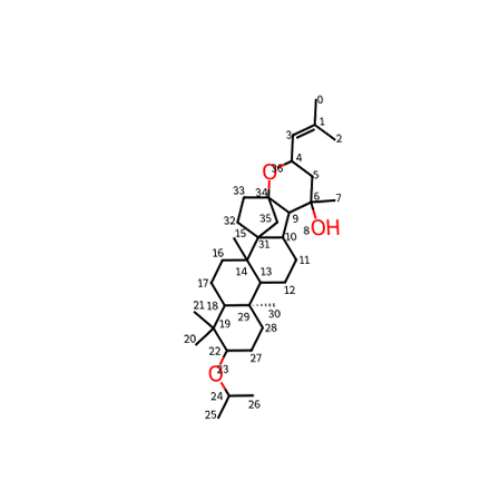 CC(C)=CC1CC(C)(O)C2C3CCC4C(C)(CCC5C(C)(C)C(OC(C)C)CC[C@@]54C)C34CCC2(C4)O1